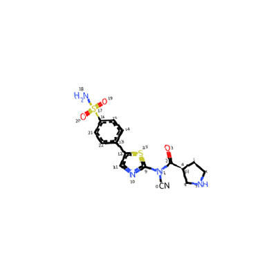 N#CN(C(=O)[C@H]1CCNC1)c1ncc(-c2ccc(S(N)(=O)=O)cc2)s1